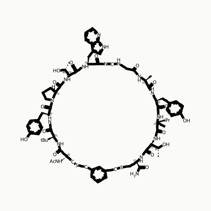 CC(=O)N[C@H]1CSCc2cccc(c2)CSC[C@H](C(N)=O)NC(=O)[C@H]([C@@H](C)O)NC(=O)[C@](C)(C(C)C)NC(=O)[C@H](Cc2ccc(O)cc2)NC(=O)[C@H](C)NC(=O)CNCNC(=O)[C@H](Cc2c[nH]c3ncccc23)NC(=O)[C@H]([C@@H](C)O)NC(=O)[C@@H]2CCCN2C(=O)[C@H](Cc2ccc(O)cc2)NC(=O)[C@H](C(C)(C)C)NC1=O